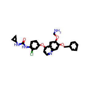 NCOc1cc2c(Oc3ccc(NC(=O)NC4CC4)c(Cl)c3)ccnc2cc1OCc1ccccc1